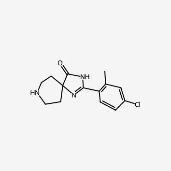 Cc1cc(Cl)ccc1C1=NC2(CCNCC2)C(=O)N1